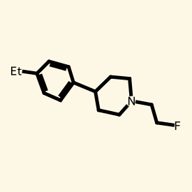 CCc1ccc(C2CCN(CCF)CC2)cc1